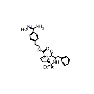 CCS(=O)(=O)N[C@H](Cc1ccccc1)C(=O)N1CCC[C@H]1C(=O)NCCc1ccc(/C(N)=N\O)cc1